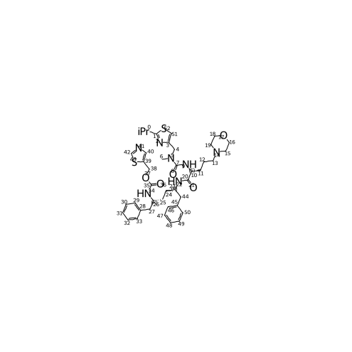 CC(C)c1nc(CN(C)C(=O)N[C@@H](CCCN2CCOCC2)C(=O)N[C@H](CC[C@H](Cc2ccccc2)NC(=O)OCc2cncs2)Cc2ccccc2)cs1